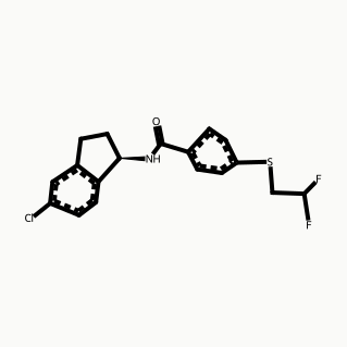 O=C(N[C@@H]1CCc2cc(Cl)ccc21)c1ccc(SCC(F)F)cc1